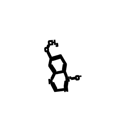 COc1ccc2c(c1)ncn[n+]2[O-]